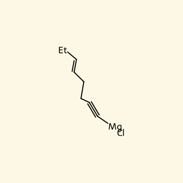 CCC=CCCC#[C][Mg][Cl]